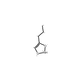 CCCC1=CONO1